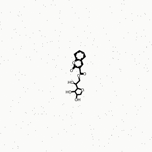 O=C(OCC(O)C1OCC(O)C1O)c1cc2ccccc2oc1=O